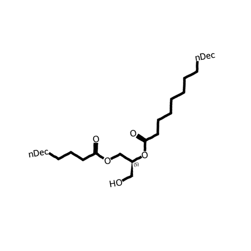 CCCCCCCCCCCCCCCCCC(=O)O[C@@H](CO)COC(=O)CCCCCCCCCCCCC